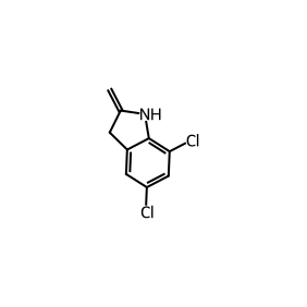 C=C1Cc2cc(Cl)cc(Cl)c2N1